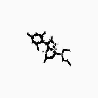 CCCN(CC)c1cc(C)nc2c(-c3c(C)cc(C)cc3C)c(C)nn12